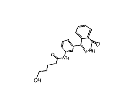 O=C(CCCCO)Nc1cccc(-c2n[nH]c(=O)c3ccccc23)c1